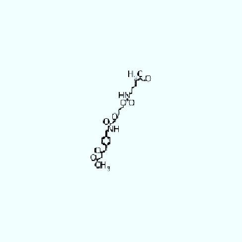 CC(=O)CC(=O)Cc1ccc(CNC(=O)COCCCOC(=O)NCCCCC(C)C=O)cc1